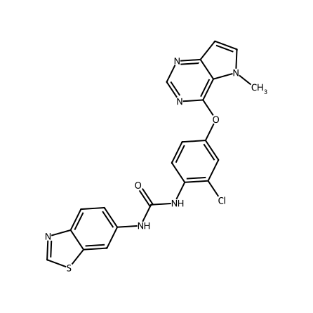 Cn1ccc2ncnc(Oc3ccc(NC(=O)Nc4ccc5ncsc5c4)c(Cl)c3)c21